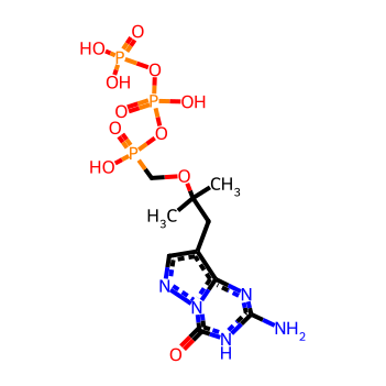 CC(C)(Cc1cnn2c(=O)[nH]c(N)nc12)OCP(=O)(O)OP(=O)(O)OP(=O)(O)O